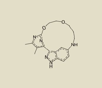 Cc1nc2nc(c1C)-c1n[nH]c3ccc(cc13)NCCCOCCO2